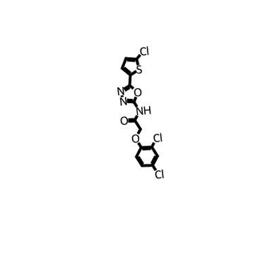 O=C(COc1ccc(Cl)cc1Cl)Nc1nnc(-c2ccc(Cl)s2)o1